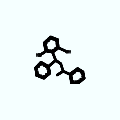 CC(CC(c1ccccc1)c1c(O)cccc1O)c1ccccc1